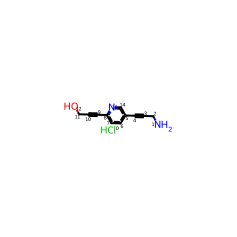 Cl.NCC#Cc1ccc(C#CCO)nc1